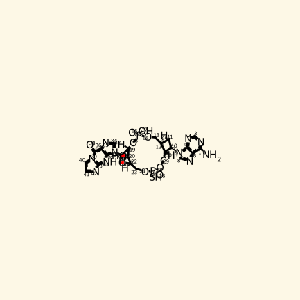 Nc1ncnc2c1ncn2[C@@H]1C[C@@H]2COP(=O)(O)O[C@@H]3[C@H](O)[C@@H](COP(=O)(S)OC[C@H]21)O[C@H]3n1cnc2c(=O)n3ccnc3[nH]c21